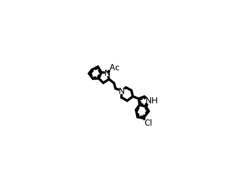 CC(=O)N1c2ccccc2CC1CCN1CCC(c2c[nH]c3cc(Cl)ccc23)CC1